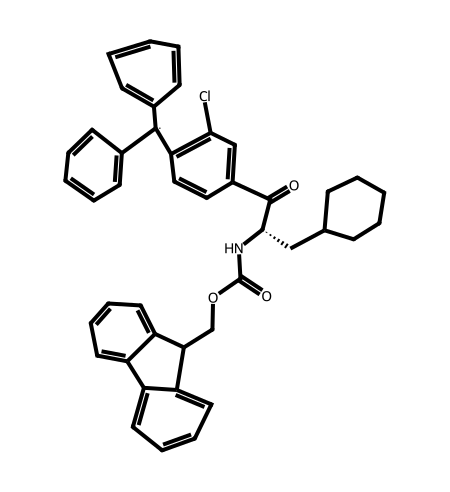 O=C(N[C@@H](CC1CCCCC1)C(=O)c1ccc([C](c2ccccc2)c2ccccc2)c(Cl)c1)OCC1c2ccccc2-c2ccccc21